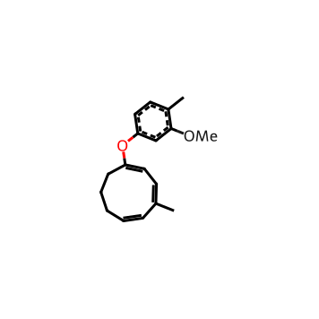 COc1cc(O/C2=C/C=C(C)\C=C/CCC2)ccc1C